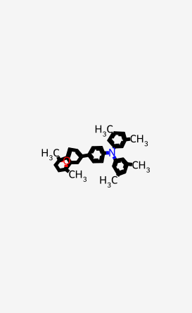 Cc1cc(C)cc(N(c2ccc(C3=CC=C4C(C3)C3(C)CCC4(C)O3)cc2)c2cc(C)cc(C)c2)c1